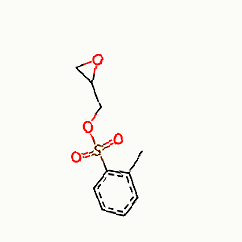 Cc1ccccc1S(=O)(=O)OCC1CO1